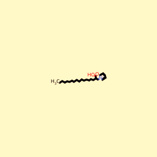 CCCCCCCCCCCCCCCCC(C[n+]1ccccc1)C(=O)O